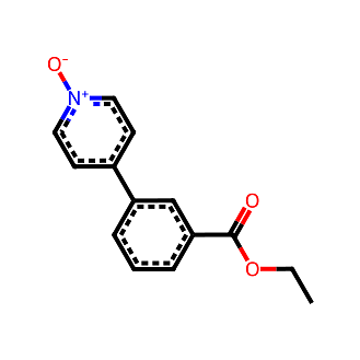 CCOC(=O)c1cccc(-c2cc[n+]([O-])cc2)c1